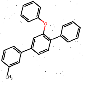 Cc1cccc(-c2ccc(-c3ccccc3)c(Oc3ccccc3)c2)c1